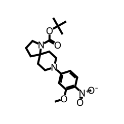 COc1cc(N2CCC3(CCCN3C(=O)OC(C)(C)C)CC2)ccc1[N+](=O)[O-]